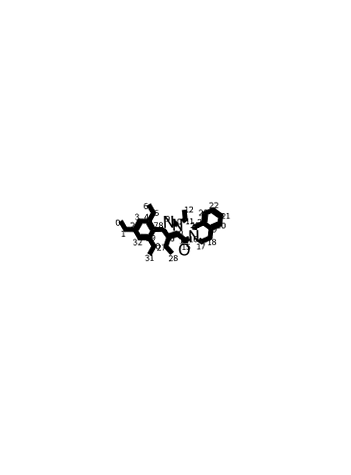 CCc1cc(CC)c(-c2nn(CC)c(C(=O)N3CCc4ccccc4C3)c2CC)c(CC)c1